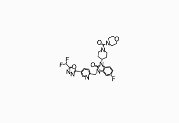 O=C(N1CCOCC1)N1CCC(n2c(=O)n(Cc3ccc(-c4nnc(C(F)F)o4)cn3)c3cc(F)ccc32)CC1